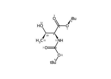 CC[C@H](C)OC(=O)[C@@H](NC(=O)OC(C)(C)C)[C@@H](C)O